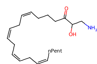 CCCCC/C=C\C/C=C\C/C=C\C/C=C\CCCC(=O)C(O)CN